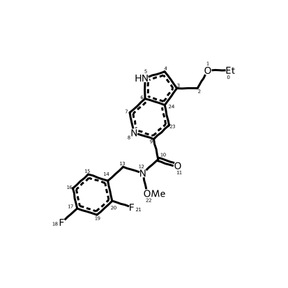 CCOCc1c[nH]c2cnc(C(=O)N(Cc3ccc(F)cc3F)OC)cc12